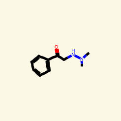 CN(C)NCC(=O)c1ccccc1